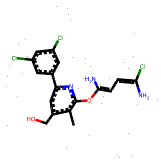 Cc1c(CO)cc(-c2cc(Cl)cc(Cl)c2)nc1O/C(N)=C/C=C(\N)Cl